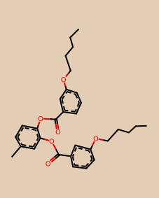 CCCCCOc1cccc(C(=O)Oc2ccc(C)cc2OC(=O)c2cccc(OCCCCC)c2)c1